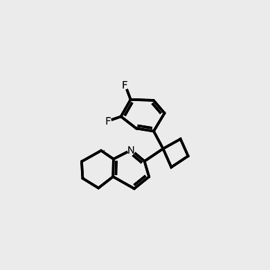 Fc1ccc(C2(c3ccc4c(n3)[CH]CCC4)CCC2)cc1F